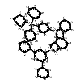 c1ccc(-c2cc(-n3cc4c(ccc5c6ccccc6n(-c6ccc([Si](c7ccccc7)(c7ccccc7)c7ccccc7)cc6)c45)n3)nc(-c3ccccc3)n2)cc1